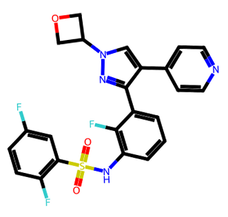 O=S(=O)(Nc1cccc(-c2nn(C3COC3)cc2-c2ccncc2)c1F)c1cc(F)ccc1F